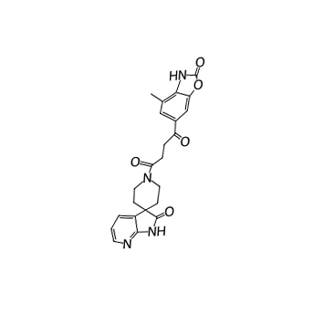 Cc1cc(C(=O)CCC(=O)N2CCC3(CC2)C(=O)Nc2ncccc23)cc2oc(=O)[nH]c12